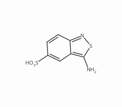 Nc1snc2ccc(S(=O)(=O)O)cc12